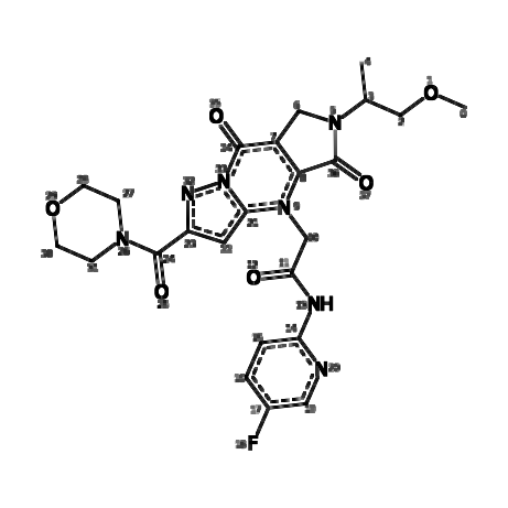 COCC(C)N1Cc2c(n(CC(=O)Nc3ccc(F)cn3)c3cc(C(=O)N4CCOCC4)nn3c2=O)C1=O